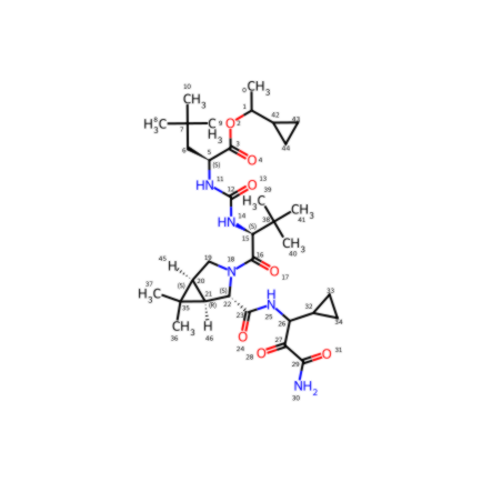 CC(OC(=O)[C@H](CC(C)(C)C)NC(=O)N[C@H](C(=O)N1C[C@H]2[C@@H]([C@H]1C(=O)NC(C(=O)C(N)=O)C1CC1)C2(C)C)C(C)(C)C)C1CC1